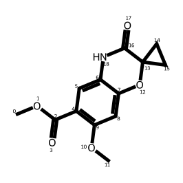 COC(=O)c1cc2c(cc1OC)OC1(CC1)C(=O)N2